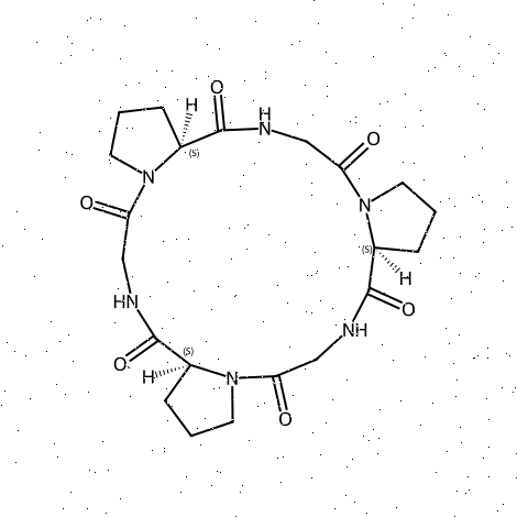 O=C1NCC(=O)N2CCC[C@H]2C(=O)NCC(=O)N2CCC[C@H]2C(=O)NCC(=O)N2CCC[C@@H]12